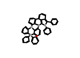 c1ccc(-c2c3cccc4c3c(n2-c2ccccc2)B2c3cccc5c3N(c3ccccc3S5(c3ccccc3)c3ccccc3)c3cccc-4c32)cc1